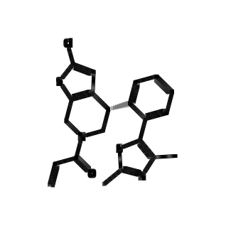 C=CC(=O)N1Cc2sc(Cl)cc2[C@H](c2ccccc2-c2sc(C)nc2C)C1